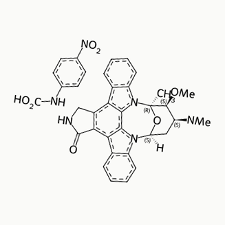 CN[C@H]1C[C@@H]2O[C@](C)([C@H]1OC)n1c3ccccc3c3c4c(c5c6ccccc6n2c5c31)C(=O)NC4.O=C(O)Nc1ccc([N+](=O)[O-])cc1